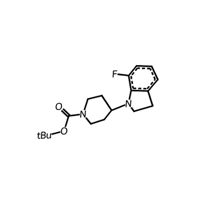 CC(C)(C)OC(=O)N1CCC(N2CCc3cccc(F)c32)CC1